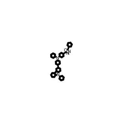 c1ccc(-c2nnc(-c3ccc(N(c4ccccc4)c4ccc(-c5ccc6c(c5)c5ccccc5n6-c5ccccc5)cc4)cc3)o2)cc1